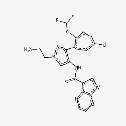 NCCn1cc(NC(=O)c2cnn3cccnc23)c(-c2cc(Cl)ccc2OC(F)F)n1